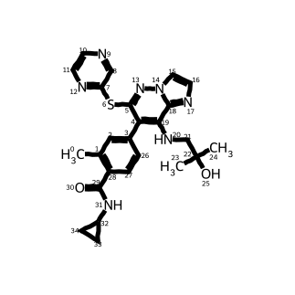 Cc1cc(-c2c(Sc3cnccn3)nn3ccnc3c2NCC(C)(C)O)ccc1C(=O)NC1CC1